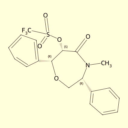 CN1C(=O)[C@@H](OS(=O)(=O)C(F)(F)F)[C@@H](c2ccccc2)OC[C@H]1c1ccccc1